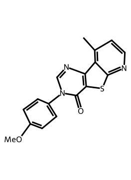 COc1ccc(-n2cnc3c(sc4nccc(C)c43)c2=O)cc1